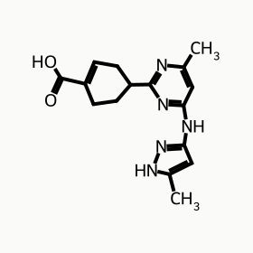 Cc1cc(Nc2cc(C)[nH]n2)nc(C2CC=C(C(=O)O)CC2)n1